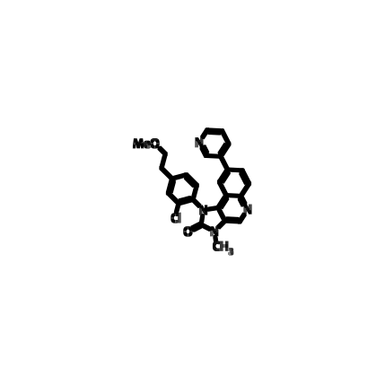 COCCc1ccc(-n2c(=O)n(C)c3cnc4ccc(-c5cccnc5)cc4c32)c(Cl)c1